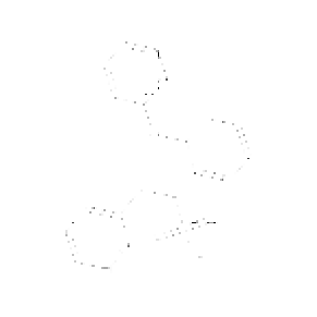 O=S(=O)(N(Cc1cccnc1)c1ccccc1Oc1ccccc1)C(F)(F)F